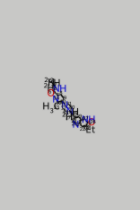 [2H]C([2H])([2H])NC(=O)c1ccc(N2CCN(C([2H])([2H])c3cnc4cc(CC)c(=O)[nH]c4c3)CC2)c(C)n1